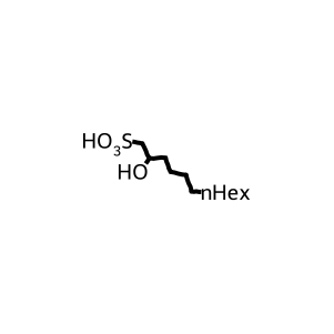 CCCCCCCCCCC(O)CS(=O)(=O)O